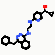 OC(c1ccc(NCCNc2nnc(Cc3ccccc3)c3ccccc23)nc1)C1CC1